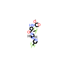 CO[C@@H]1COCC[C@@H]1N[C@@H]1CC[C@](CC(F)(F)F)(C(=O)N2C[C@@H]3C[C@H]2CN3c2cc(C(F)(F)F)ccn2)C1